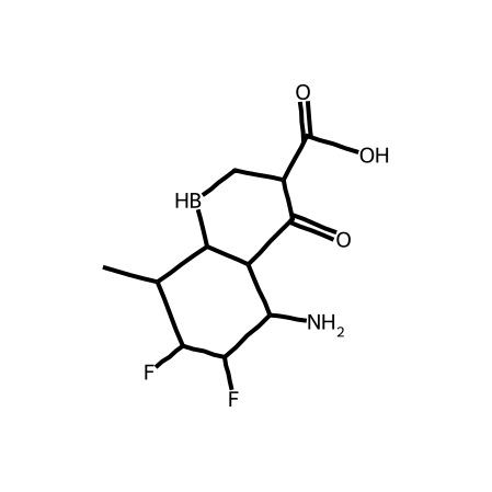 CC1C(F)C(F)C(N)C2C(=O)C(C(=O)O)CBC12